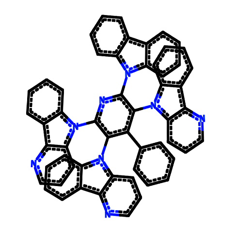 c1ccc(-c2c(-n3c4ccccc4c4ncccc43)c(-n3c4ccccc4c4ccccc43)nc(-n3c4ccccc4c4ncccc43)c2-n2c3ccccc3c3ncccc32)cc1